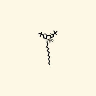 CCCCCCCCCCCCN1c2cc(C(C)(C)C)sc2-c2sc(C(C)(C)C)cc2S1(=O)=O